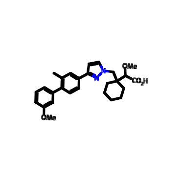 COc1cccc(-c2ccc(-c3ccn(CC4(C(OC)C(=O)O)CCCCC4)n3)cc2C)c1